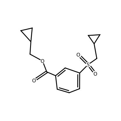 O=C(OCC1CC1)c1cccc(S(=O)(=O)CC2CC2)c1